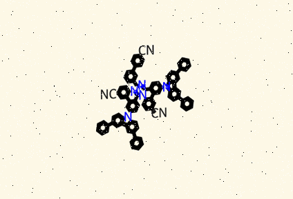 N#Cc1ccc(-c2cccc(-c3nc(-c4ccc(-n5c6ccc(-c7ccccc7)cc6c6cc(-c7ccccc7)ccc65)cc4-c4cccc(C#N)c4)nc(-c4ccc(-n5c6ccc(-c7ccccc7)cc6c6cc(-c7ccccc7)ccc65)cc4-c4cccc(C#N)c4)n3)c2)cc1